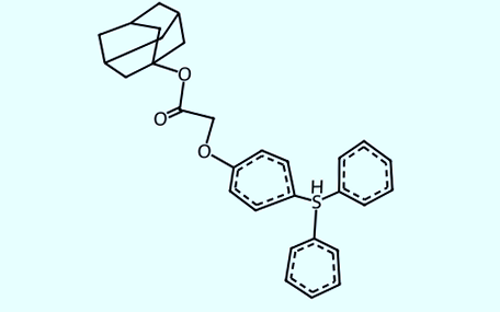 O=C(COc1ccc([SH](c2ccccc2)c2ccccc2)cc1)OC12CC3CC(CC(C3)C1)C2